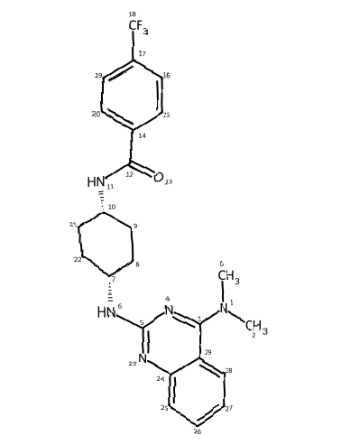 CN(C)c1nc(N[C@H]2CC[C@@H](NC(=O)c3ccc(C(F)(F)F)cc3)CC2)nc2ccccc12